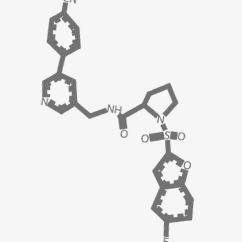 N#Cc1ccc(-c2cncc(CNC(=O)C3CCCN3S(=O)(=O)c3cc4cc(F)ccc4o3)c2)cc1